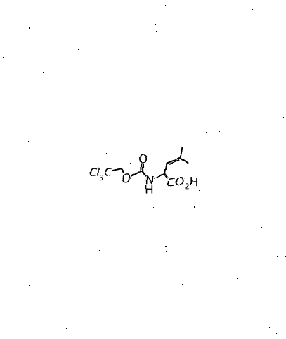 CC(C)=CC(NC(=O)OCC(Cl)(Cl)Cl)C(=O)O